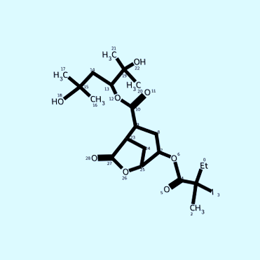 CCC(C)(I)C(=O)OC1CC(C(=O)OC(CC(C)(C)O)C(C)(C)O)C2CC1OC2=O